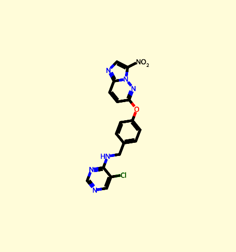 O=[N+]([O-])c1cnc2ccc(Oc3ccc(CNc4ncncc4Cl)cc3)nn12